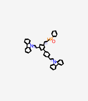 O=[PH](C/C=C/c1cc(/C=C/n2c3ccccc3c3ccccc32)cc(-c2ccc(/C=C/n3c4ccccc4c4ccccc43)cc2)c1)c1ccccc1